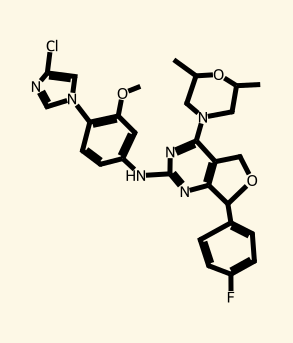 COc1cc(Nc2nc3c(c(N4CC(C)OC(C)C4)n2)COC3c2ccc(F)cc2)ccc1-n1cnc(Cl)c1